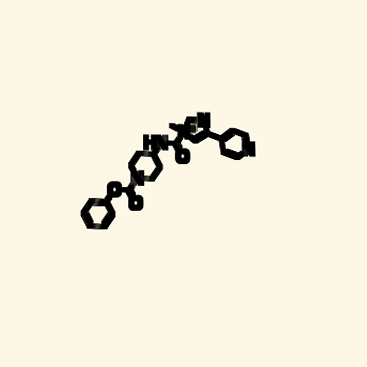 C[N+]1(C(=O)NC2CCN(C(=O)Oc3ccccc3)CC2)C=NC(c2ccncc2)=C1